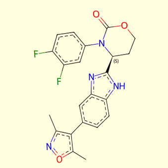 Cc1noc(C)c1-c1ccc2[nH]c([C@@H]3CCOC(=O)N3c3ccc(F)c(F)c3)nc2c1